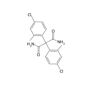 Cc1cc(Cl)ccc1C(C(N)=O)(C(N)=O)c1ccc(Cl)cc1C